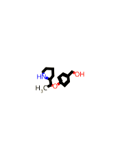 CC(Oc1ccc(CO)cc1)C1CCCCN1